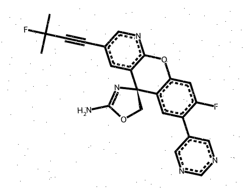 CC(C)(F)C#Cc1cnc2c(c1)[C@]1(COC(N)=N1)c1cc(-c3cncnc3)c(F)cc1O2